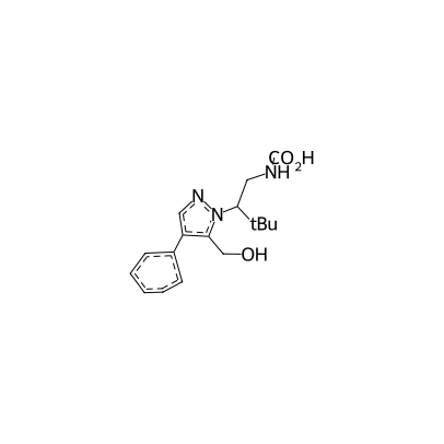 CC(C)(C)C(CNC(=O)O)n1ncc(-c2ccccc2)c1CO